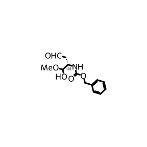 COC(O)[C@H](CC=O)NC(=O)OCc1ccccc1